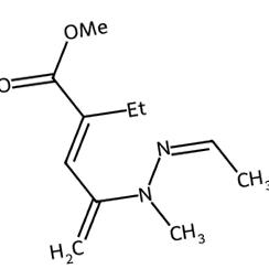 C=C(/C=C(\CC)C(=O)OC)N(C)/N=C\C